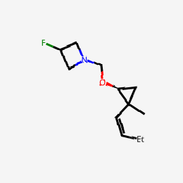 CC/C=C\C1(C)C[C@@H]1OCN1CC(F)C1